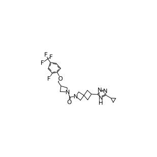 O=C(N1CC(COc2ccc(C(F)(F)F)cc2F)C1)N1CC2(CC(c3nnc(C4CC4)[nH]3)C2)C1